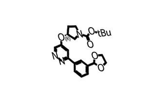 CC(C)(C)OC(=O)N1CC[C@@H](Oc2cnnc(-c3cccc(C4OCCO4)c3)c2)C1